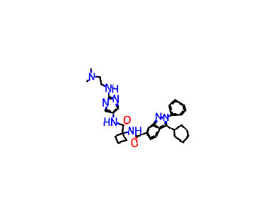 CN(C)CCNc1ncc(NC(=O)C2(NC(=O)c3ccc4c(C5CCCCC5)n(-c5ccccc5)nc4c3)CCC2)cn1